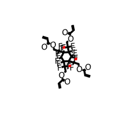 C=CC(=O)OCC(F)(F)C1(F)C(F)(F)C(F)(C(F)(F)COC(=O)C=C)C(F)(C(F)(F)COC(=O)C=C)C(F)(F)C1(F)C(F)(F)COC(=O)C=C